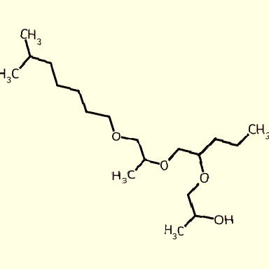 CCCC(COC(C)COCCCCCC(C)C)OCC(C)O